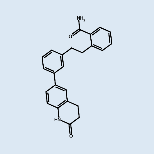 NC(=O)c1ccccc1C[CH]c1cccc(-c2ccc3c(c2)CCC(=O)N3)c1